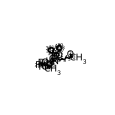 CC(=O)CCCCCC(NC(=O)C1CC[N+](C)(OC(=O)C(F)(F)F)CC1)c1nc(-c2ccccc2)c(-c2ccccc2)o1